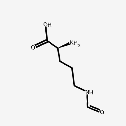 N[C@@H](CCCNC=O)C(=O)O